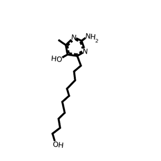 Cc1nc(N)nc(CCCCCCCCCCO)c1O